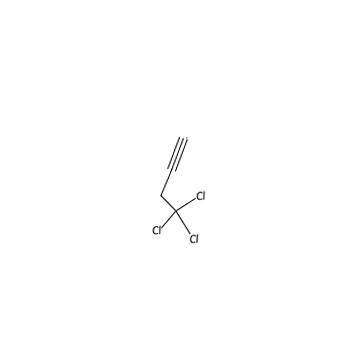 [C]#CCC(Cl)(Cl)Cl